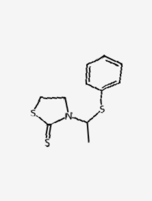 CC(Sc1ccccc1)N1CCSC1=S